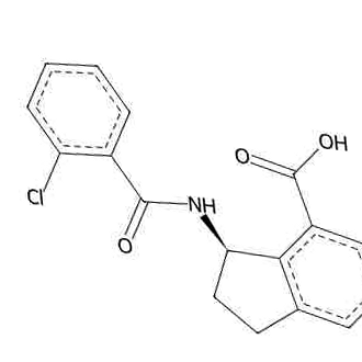 O=C(N[C@@H]1CCc2cccc(C(=O)O)c21)c1ccccc1Cl